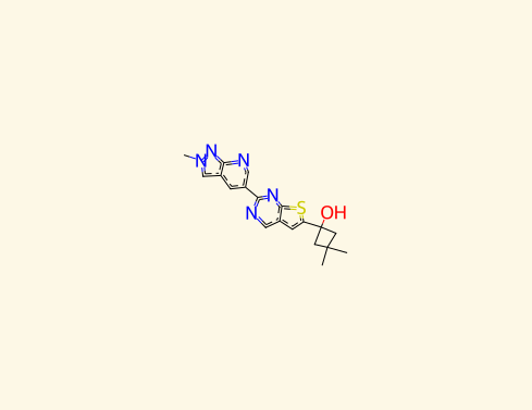 Cn1cc2cc(-c3ncc4cc(C5(O)CC(C)(C)C5)sc4n3)cnc2n1